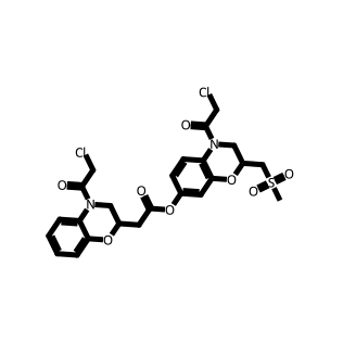 CS(=O)(=O)CC1CN(C(=O)CCl)c2ccc(OC(=O)CC3CN(C(=O)CCl)c4ccccc4O3)cc2O1